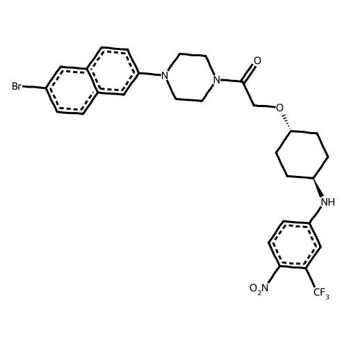 O=C(CO[C@H]1CC[C@H](Nc2ccc([N+](=O)[O-])c(C(F)(F)F)c2)CC1)N1CCN(c2ccc3cc(Br)ccc3c2)CC1